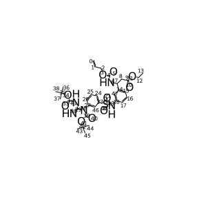 C=CCOC(=O)NC(CC(=O)OCC)c1cccc(NS(=O)(=O)c2cccc(N(C(=N)NC(=O)OC(C)(C)C)C(=O)OC(C)(C)C)c2)c1